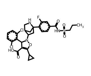 CCCS(=O)(=O)NC(=O)c1ccc(C23CC(CN2)C(N2OC(C4CC4)=C(C(=O)O)C2c2c(Cl)cccc2Cl)C3)c(F)c1